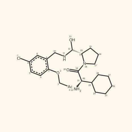 CC(=O)COc1ccc(Cl)cc1CNC(O)[C@@H]1CCCN1C(=O)[C@H](N)C1CCCCC1